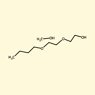 CCCCOCCOCCO.CO